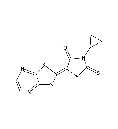 O=C1C(=C2Sc3nccnc3S2)SC(=S)N1C1CC1